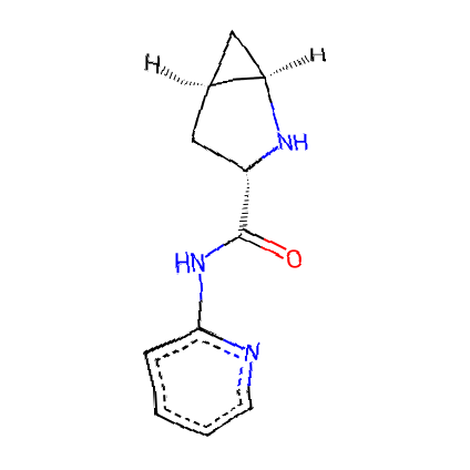 O=C(Nc1ccccn1)[C@@H]1C[C@H]2C[C@H]2N1